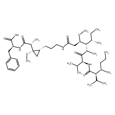 CCCN(C)[C@H](C(=O)N[C@H](C(=O)N(C)[C@@H]([C@@H](C)CC)[C@@H](CC(=O)NCCC[C@@H]1C[C@@]1(OC)[C@@H](C)C(=O)N[C@@H](Cc1ccccc1)C(=O)O)OC)C(C)C)C(C)C